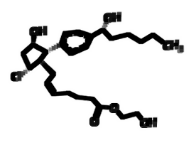 CCCCC[C@@H](O)c1ccc([C@@H]2[C@@H](C/C=C\CCCC(=O)OCCO)[C@H](Cl)C[C@H]2O)cc1